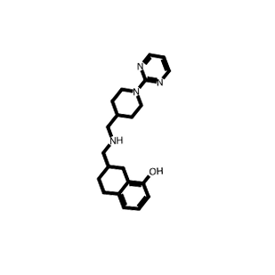 Oc1cccc2c1CC(CNCC1CCN(c3ncccn3)CC1)CC2